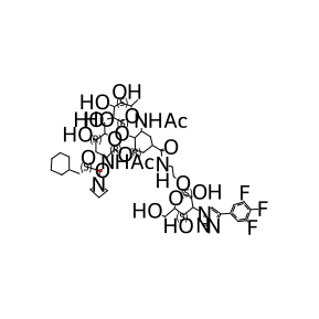 CC(=O)NC1CC(C(=O)NCCO[C@H]2OC(CO)[C@@H](O)C(n3cc(-c4cc(F)c(F)c(F)c4)nn3)C2O)C[C@@H](O[C@@H]2OC(CO)[C@H](O)C(O[C@@H](CC3CCCCC3)C(=O)N3CCC3)C2NC(C)=O)C1O[C@@H]1OC(C)[C@@H](O)C(O)C1O